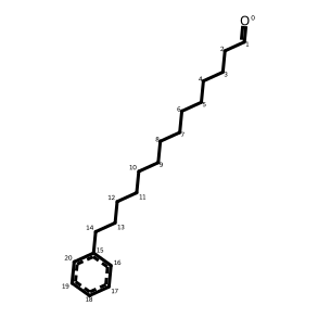 O=CCCCCCCCCCCCCCc1ccccc1